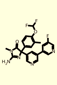 Cc1cc(C2(c3cncc(-c4cncc(F)c4)c3)N=C(N)N(C)C2=O)ccc1OC(F)F